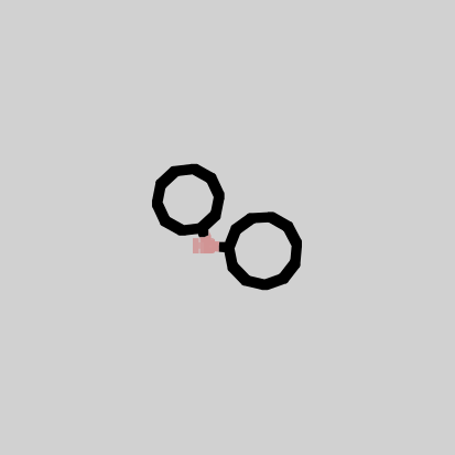 B(C1CCCCCCCCCC1)C1CCCCCCCCC1